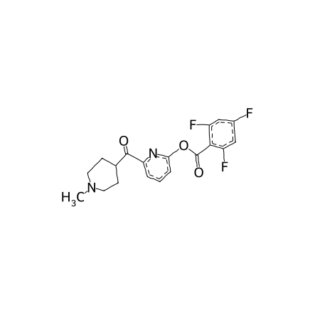 CN1CCC(C(=O)c2cccc(OC(=O)c3c(F)cc(F)cc3F)n2)CC1